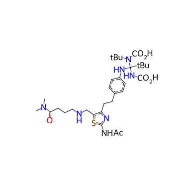 CC(=O)Nc1nc(CCc2ccc(NC(NC(=O)O)(N(C(=O)O)C(C)(C)C)C(C)(C)C)cc2)c(CNCCCC(=O)N(C)C)s1